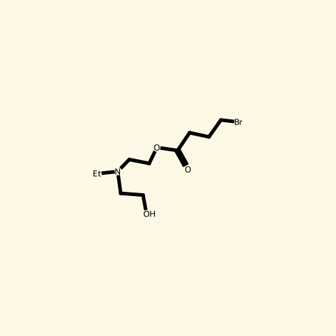 CCN(CCO)CCOC(=O)CCCBr